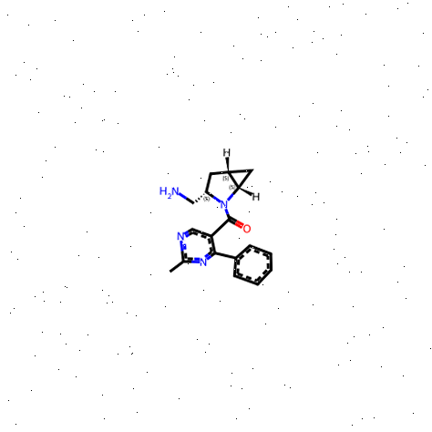 Cc1ncc(C(=O)N2[C@H](CN)C[C@@H]3C[C@@H]32)c(-c2ccccc2)n1